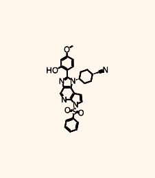 COc1ccc(-c2nc3cnc4c(ccn4S(=O)(=O)c4ccccc4)c3n2[C@H]2CC[C@H](C#N)CC2)c(O)c1